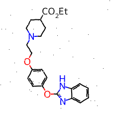 CCOC(=O)C1CCN(CCOc2ccc(Oc3nc4ccccc4[nH]3)cc2)CC1